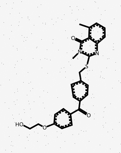 Cc1cccc2nc(SCc3ccc(C(=O)c4ccc(OCCO)cc4)cc3)n(C)c(=O)c12